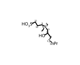 CCCSCC(O)C[N+](C)(C)CCCS(=O)(=O)O